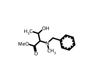 COC(=O)C(C(C)O)N(C)Cc1ccccc1